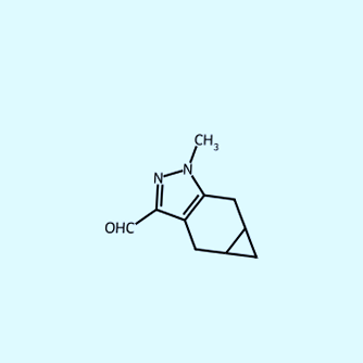 Cn1nc(C=O)c2c1CC1CC1C2